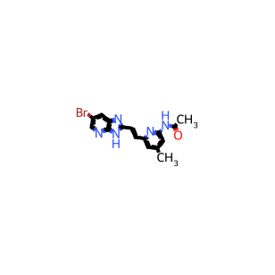 CC(=O)Nc1cc(C)cc(C=Cc2nc3cc(Br)cnc3[nH]2)n1